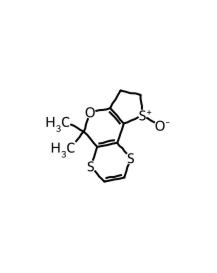 CC1(C)OC2=C(C3=C1SC=CS3)[S+]([O-])CC2